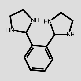 c1ccc(C2NCCN2)c(C2NCCN2)c1